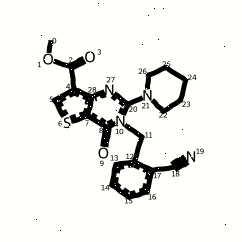 COC(=O)c1csc2c(=O)n(Cc3ccccc3C#N)c(N3CCCCC3)nc12